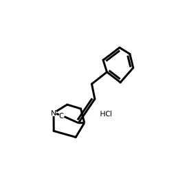 C(/Cc1ccccc1)=C1/CN2CCC1CC2.Cl